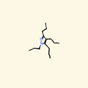 CCCc1nn(CCC)c(CCC)c1CCC